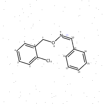 Clc1ccccc1CO/N=[C]\c1ccccc1